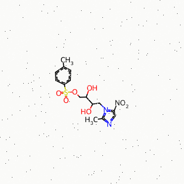 Cc1ccc(S(=O)(=O)OCC(O)C(O)Cn2c([N+](=O)[O-])cnc2C)cc1